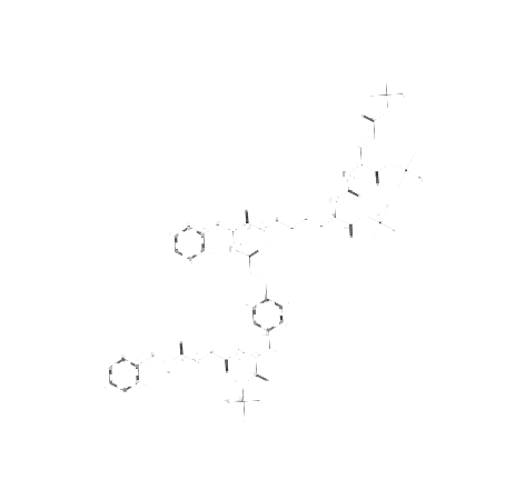 CC(C)(C)OC(=O)CCC(NC(=O)NC(CCCCNC(=O)C(Cc1ccccc1)NC(=O)COc1ccc(CC(NC(=O)CNC(=O)OCc2ccccc2)C(=O)OC(C)(C)C)cc1)C(=O)OC(C)(C)C)C(=O)OC(C)(C)C